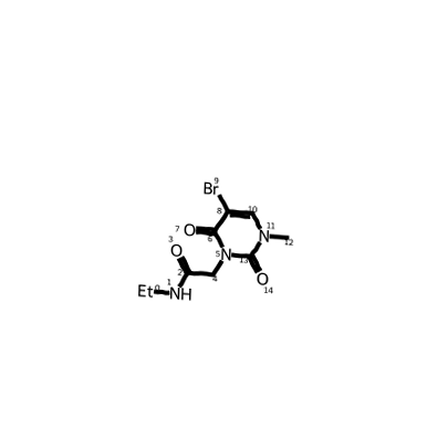 CCNC(=O)Cn1c(=O)c(Br)cn(C)c1=O